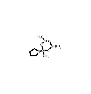 C[SiH]1O[SiH](C)O[Si](C)(N2CCCC2)O1